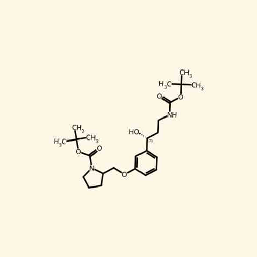 CC(C)(C)OC(=O)NCC[C@@H](O)c1cccc(OCC2CCCN2C(=O)OC(C)(C)C)c1